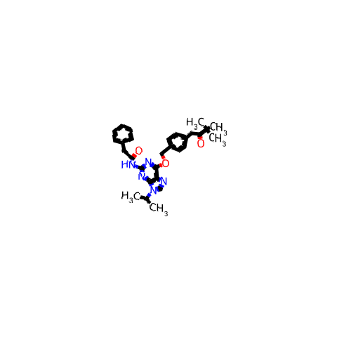 CC(C)n1cnc2c(OCc3ccc(CC(=O)C(C)(C)C)cc3)nc(NC(=O)Cc3ccccc3)nc21